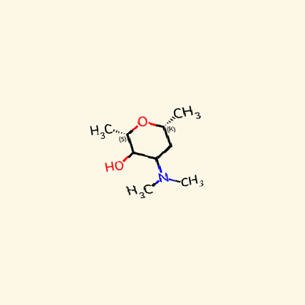 C[C@@H]1CC(N(C)C)C(O)[C@H](C)O1